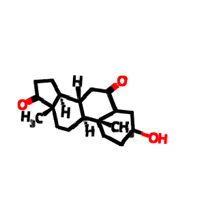 C[C@]12CCC(O)CC1C(=O)C[C@@H]1[C@@H]2CC[C@]2(C)C(=O)CC[C@@H]12